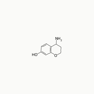 NC1CCOc2cc(O)ccc21